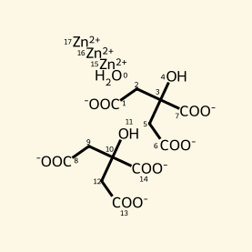 O.O=C([O-])CC(O)(CC(=O)[O-])C(=O)[O-].O=C([O-])CC(O)(CC(=O)[O-])C(=O)[O-].[Zn+2].[Zn+2].[Zn+2]